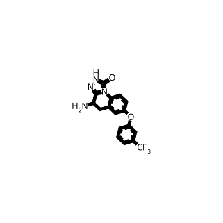 NC1Cc2cc(Oc3cccc(C(F)(F)F)c3)ccc2-n2c1n[nH]c2=O